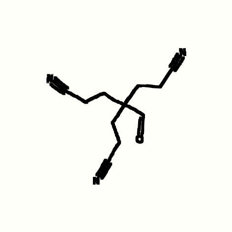 N#CCCC(C=O)(CCC#N)CCC#N